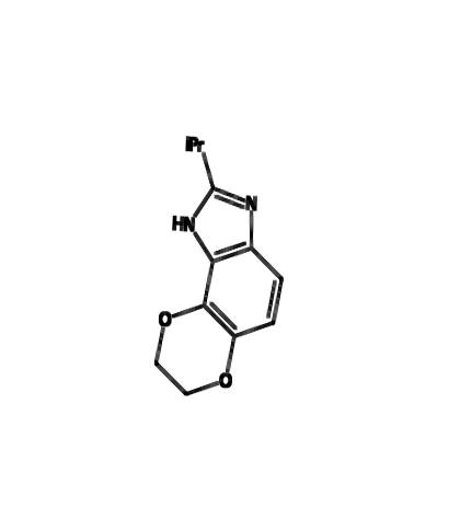 CC(C)c1nc2ccc3c(c2[nH]1)OCCO3